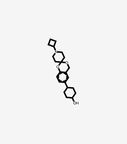 OC1CCC(c2ccc3c(c2)COC2(CCN(C4CCC4)CC2)O3)CC1